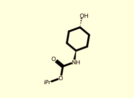 CC(C)OC(=O)N[C@H]1CC[C@H](O)CC1